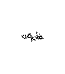 Cc1c(N2CCC(Nc3nccc(N4CCCCCC4)n3)CC2)sc2ccccc12